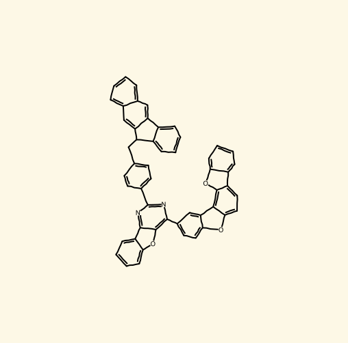 c1ccc2c(c1)-c1cc3ccccc3cc1C2Cc1ccc(-c2nc(-c3ccc4oc5ccc6c7ccccc7oc6c5c4c3)c3oc4ccccc4c3n2)cc1